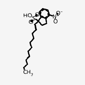 CCCCCCCCCCCCC1(S(=O)(=O)O)CCc2c([N+](=O)[O-])cccc21